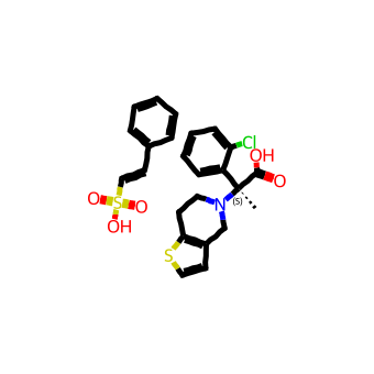 C[C@@](C(=O)O)(c1ccccc1Cl)N1CCc2sccc2C1.O=S(=O)(O)C=Cc1ccccc1